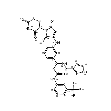 O=C1CCC(N2C(=O)C=C(Nc3cccc(C(CC(=O)Nc4cccc(C(F)(F)F)c4)NCc4nn[nH]n4)c3)C2=O)C(=O)N1